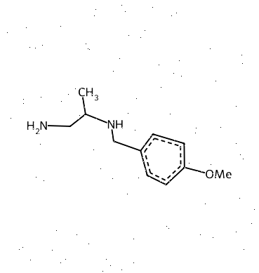 COc1ccc(CNC(C)CN)cc1